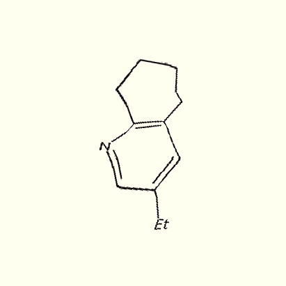 CCc1cnc2c(c1)CCCC2